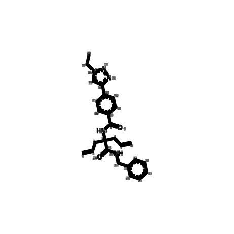 C=CCC(CC=C)(NC(=O)c1ccc(-c2cn(CC)nn2)cc1)C(=O)NCc1ccccc1